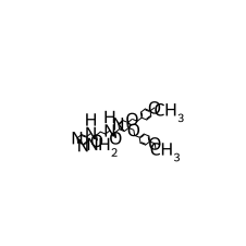 COc1ccc(COc2cnc(C(=O)NCCC(=O)Nc3cncnc3N)cc2OCc2ccc(OC)cc2)cc1